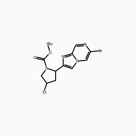 CCC1CC(c2cn3cc(Br)ncc3n2)N(C(=O)OC(C)(C)C)C1